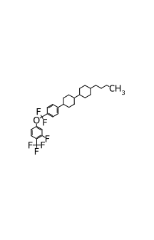 CCCCC1CCC(C2CCC(c3ccc(C(F)(F)Oc4ccc(C(F)(F)F)c(F)c4)cc3)CC2)CC1